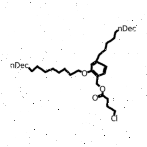 CCCCCCCCCCCCCCCCCCOc1cc(CCCCCCCCCCCCCCC)ccc1COC(=O)CCCCl